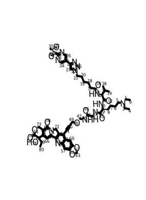 CCN(CC)CCCC[C@H](NC(=O)[C@@H](NC(=O)CCCCCn1cc(-c2cnc(S(C)(=O)=O)nc2)nn1)C(C)C)C(=O)NCC(=O)NCOCC#Cc1c2c(nc3cc4c(cc13)OCO4)-c1cc3c(c(=O)n1C2)COC(=O)[C@]3(O)CC